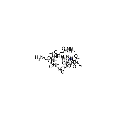 C=CCn1c(C(C)=O)c(/N=C(\C)N)n([C@H]2O[C@@H](COC(=O)N(C)CCNC(=O)[C@H](CCCCN)NC(=O)[C@@H](NC(=O)CCCC(=O)NN)C(C)C)[C@H](O)[C@@H]2O)c1=O